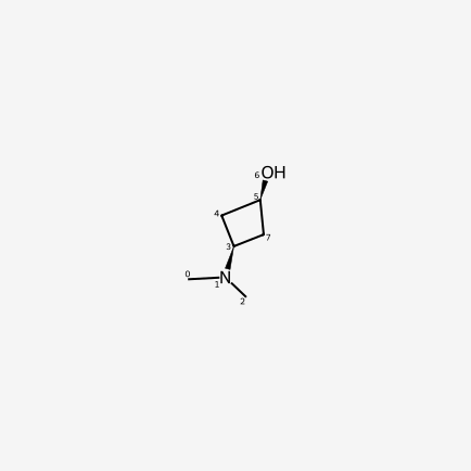 CN(C)[C@H]1C[C@@H](O)C1